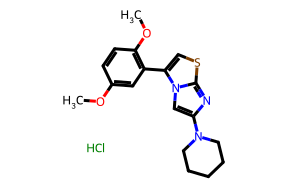 COc1ccc(OC)c(-c2csc3nc(N4CCCCC4)cn23)c1.Cl